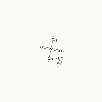 O.O=S(=O)(O)O.[Pa]